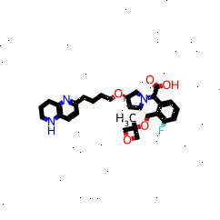 CC1(OCc2c(F)cccc2C(C(=O)O)N2CC[C@@H](OCCCCc3ccc4c(n3)CCCN4)C2)COC1